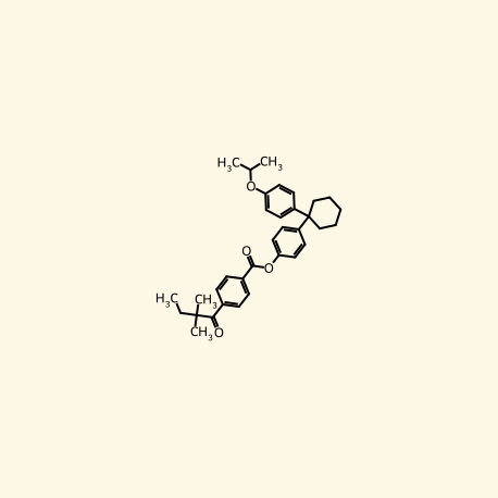 CCC(C)(C)C(=O)c1ccc(C(=O)Oc2ccc(C3(c4ccc(OC(C)C)cc4)CCCCC3)cc2)cc1